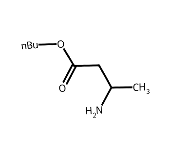 CCCCOC(=O)CC(C)N